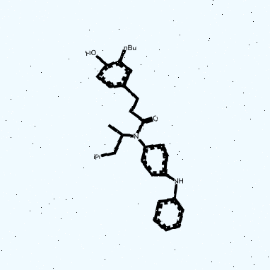 CCCCc1cc(CCC(=O)N(c2ccc(Nc3ccccc3)cc2)C(C)CC(C)C)ccc1O